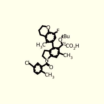 Cc1ccc(Cl)cc1C(=O)N1CCc2c1cc(C)c([C@H](OC(C)(C)C)C(=O)O)c2-c1cc(F)c2c(c1C)CCCO2